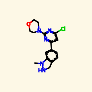 CN1NCc2ccc(-c3cc(Cl)nc(N4CCOCC4)n3)cc21